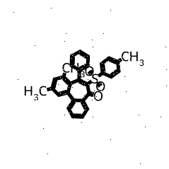 Cc1ccc(S(=O)(=O)c2c(-c3ccccc3)c3c(C)cc(C)cc3c3ccccc3c2=O)cc1